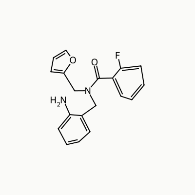 Nc1ccccc1CN(Cc1ccco1)C(=O)c1ccccc1F